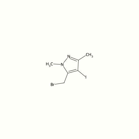 Cc1nn(C)c(CBr)c1I